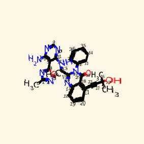 Cc1noc(-c2c(N)ncnc2NC(C)c2nc3cccc(C#CC(C)(C)O)c3c(=O)n2-c2ccccc2)n1